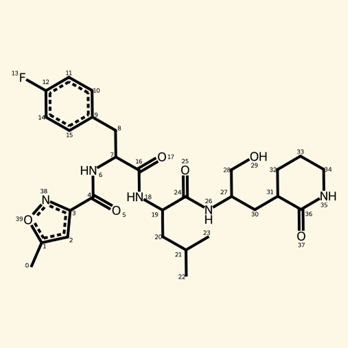 Cc1cc(C(=O)NC(Cc2ccc(F)cc2)C(=O)NC(CC(C)C)C(=O)NC(CO)CC2CCCNC2=O)no1